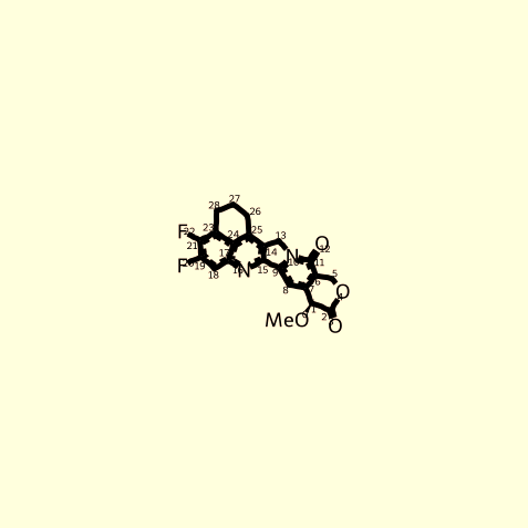 CO[C@@H]1C(=O)OCc2c1cc1n(c2=O)Cc2c-1nc1cc(F)c(F)c3c1c2CCC3